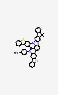 CC(C)(C)c1ccc(N2B3c4cc5c(cc4-n4c6cc7c(cc6c6ccc(c3c64)-c3cc4oc6ccccc6c4cc32)C(C)(C)c2ccccc2-7)sc2ccccc25)cc1